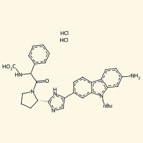 CCCCn1c2cc(N)ccc2c2ccc(-c3cnc([C@@H]4CCCN4C(=O)C(NC(=O)O)c4ccccc4)[nH]3)cc21.Cl.Cl